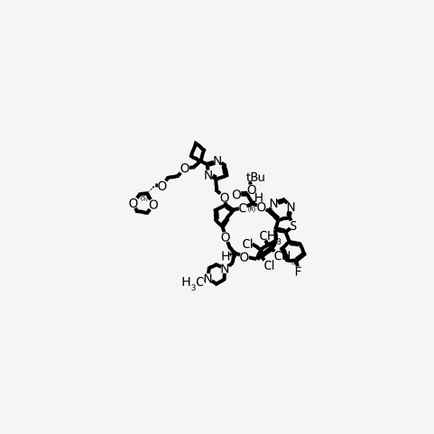 Cc1c(Cl)c2c(Cl)c(C)c1-c1c(-c3ccc(F)cc3)sc3ncnc(c13)O[C@@H](C(=O)OC(C)(C)C)Cc1cc(ccc1OCc1ccnc(C3(COCCOC[C@H]4COCCO4)CCC3)n1)OC[C@@H](CN1CCN(C)CC1)O2